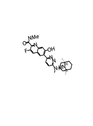 CNC(=O)c1nc2cc(O)c(-c3ccc(N(C)[C@H]4C[C@]5(C)CCC[C@](C)(C4)N5)nn3)cc2cc1F